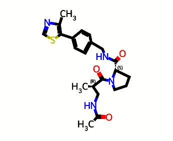 CC(=O)NC[C@@H](C)C(=O)N1CCC[C@H]1C(=O)NCc1ccc(-c2scnc2C)cc1